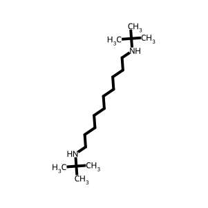 CC(C)(C)NCCCCCCCCCCNC(C)(C)C